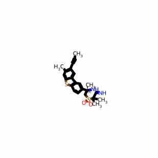 CC#Cc1cc2c(cc1C)sc1ccc([C@]3(C)CS(=O)(=O)C(C)(C)C(=N)N3)cc12